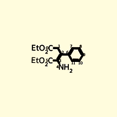 CCOC(=O)CC(=C(N)C(=O)OCC)c1ccccc1